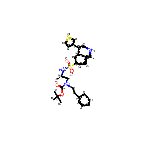 C[C@H](CN(CCc1ccccc1)C(=O)OC(C)(C)C)NS(=O)(=O)c1ccc2cncc(-c3ccsc3)c2c1